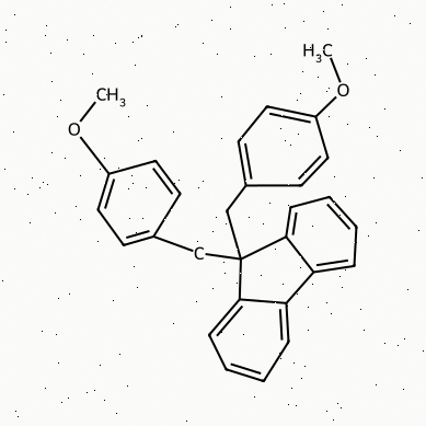 COc1ccc(CC2(Cc3ccc(OC)cc3)c3ccccc3-c3ccccc32)cc1